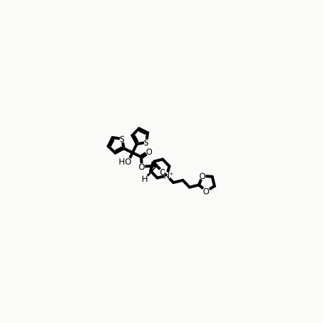 O=C(O[C@H]1C[N+]2(CCCC3OCCO3)CCC1CC2)C(O)(c1cccs1)c1cccs1